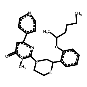 CCCCC(C)Oc1ccccc1C1CN(c2nc(-c3ccncc3)cc(=O)n2C)CCO1